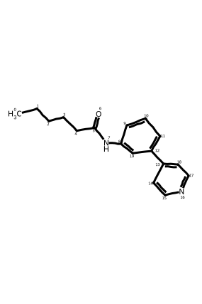 CCCCCC(=O)Nc1cccc(-c2ccncc2)c1